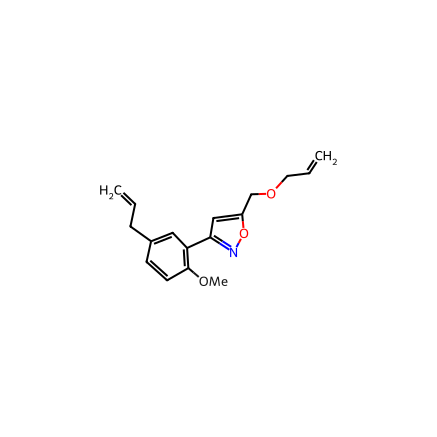 C=CCOCc1cc(-c2cc(CC=C)ccc2OC)no1